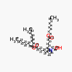 CCCCCCCCCOC(=O)CCCCCC1C(CCCCCC(=O)OC(CCCCCCCC)CCCCCCCC)CCN1CCO